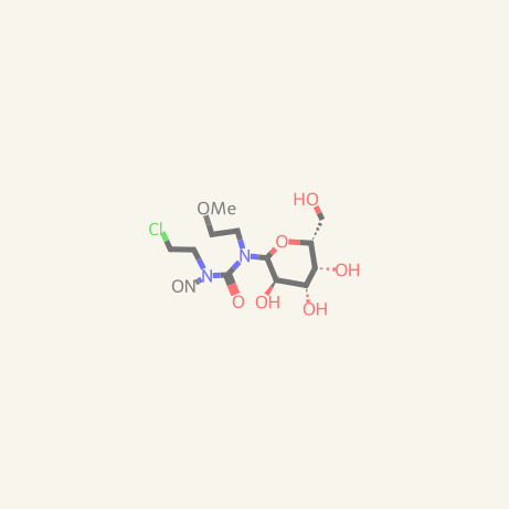 COCCN(C(=O)N(CCCl)N=O)C1O[C@H](CO)[C@H](O)[C@H](O)[C@H]1O